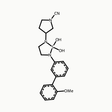 COc1ccccc1-c1cccc(N2CCN(C3CCN(C#N)C3)S2(O)O)c1